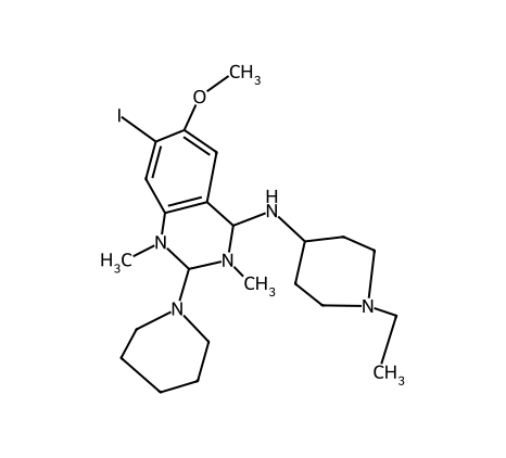 CCN1CCC(NC2c3cc(OC)c(I)cc3N(C)C(N3CCCCC3)N2C)CC1